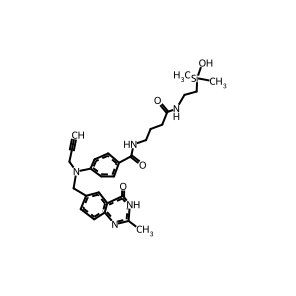 C#CCN(Cc1ccc2nc(C)[nH]c(=O)c2c1)c1ccc(C(=O)NCCCC(=O)NCC[Si](C)(C)O)cc1